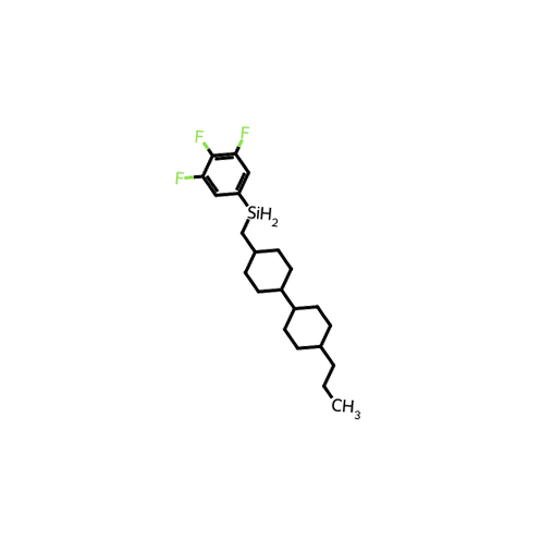 CCCC1CCC(C2CCC(C[SiH2]c3cc(F)c(F)c(F)c3)CC2)CC1